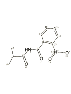 CC(C)C(=O)NC(=O)c1ccncc1[N+](=O)[O-]